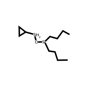 CCCC[Si](CCCC)O[SiH2]C1CC1